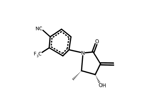 C=C1C(=O)N(c2ccc(C#N)c(C(F)(F)F)c2)[C@@H](C)[C@H]1O